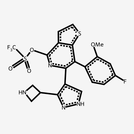 COc1cc(F)ccc1-c1c(-c2c[nH]nc2C2CNC2)nc(OS(=O)(=O)C(F)(F)F)c2ccsc12